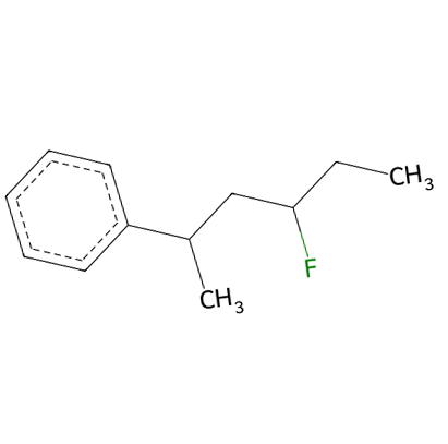 CCC(F)CC(C)c1ccccc1